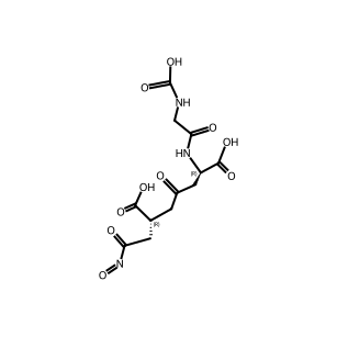 O=NC(=O)C[C@@H](CC(=O)C[C@@H](NC(=O)CNC(=O)O)C(=O)O)C(=O)O